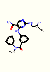 CON(C(=O)c1cccc(Nc2nc(NC[C@H](C)N)ncc2C(N)=O)c1)c1ccccc1